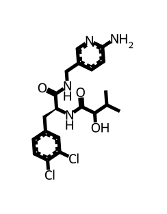 CC(C)C(O)C(=O)N[C@@H](Cc1ccc(Cl)c(Cl)c1)C(=O)NCc1ccc(N)nc1